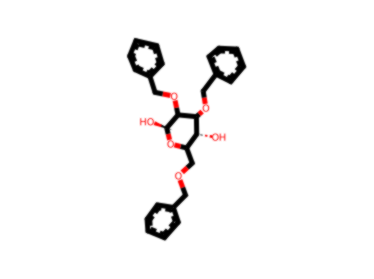 O[C@@H]1C(COCc2ccccc2)O[C@@H](O)C(OCc2ccccc2)C1OCc1ccccc1